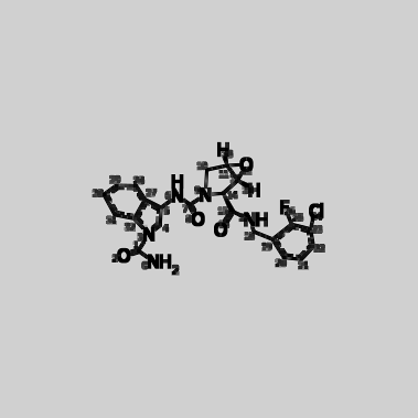 NC(=O)n1cc(NC(=O)N2C[C@@H]3O[C@@H]3[C@H]2C(=O)NCc2cccc(Cl)c2F)c2ccccc21